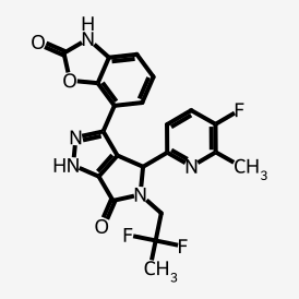 Cc1nc(C2c3c(-c4cccc5[nH]c(=O)oc45)n[nH]c3C(=O)N2CC(C)(F)F)ccc1F